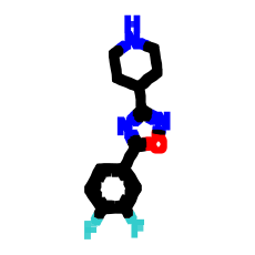 Fc1ccc(-c2nc(C3CCNCC3)no2)cc1F